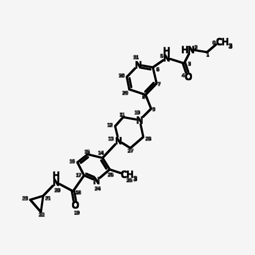 CCNC(=O)Nc1cc(CN2CCN(c3ccc(C(=O)NC4CC4)nc3C)CC2)ccn1